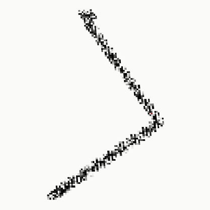 O=[N+]([O-])[O-].O=[N+]([O-])[O-].O=[N+]([O-])[O-].O=[N+]([O-])[O-].O=[N+]([O-])[O-].O=[N+]([O-])[O-].O=[N+]([O-])[O-].O=[N+]([O-])[O-].O=[N+]([O-])[O-].O=[N+]([O-])[O-].O=[N+]([O-])[O-].O=[N+]([O-])[O-].O=[N+]([O-])[O-].O=[N+]([O-])[O-].O=[N+]([O-])[O-].O=[N+]([O-])[O-].O=[N+]([O-])[O-].O=[N+]([O-])[O-].O=[N+]([O-])[O-].O=[N+]([O-])[O-].O=[N+]([O-])[O-].O=[N+]([O-])[O-].O=[N+]([O-])[O-].O=[N+]([O-])[O-].O=[N+]([O-])[O-].O=[N+]([O-])[O-].O=[N+]([O-])[O-].O=[N+]([O-])[O-].O=[N+]([O-])[O-].O=[N+]([O-])[O-].O=[N+]([O-])[O-].O=[N+]([O-])[O-].O=[N+]([O-])[O-].[Co+2].[Co+2].[Co+2].[Co+2].[Co+2].[Co+2].[Co+2].[Co+2].[Co+2].[Co+2].[Co+2].[Co+2]